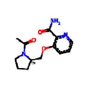 CC(=O)N1CCC[C@@H]1COc1cccnc1C(N)=O